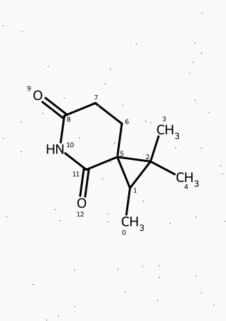 CC1C(C)(C)C12CCC(=O)NC2=O